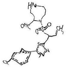 C=CC(c1nnc(-c2ccc(Cl)cc2)s1)S(=O)(=O)N1CCNCC1C=O